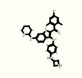 Cc1cc(F)cc(C)c1C(=O)c1sc2cc(OC3CCCCO3)ccc2c1Oc1ccc(NC2CNC2)cc1